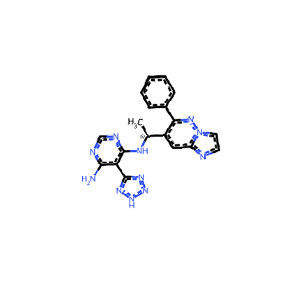 C[C@H](Nc1ncnc(N)c1-c1nn[nH]n1)c1cc2nccn2nc1-c1ccccc1